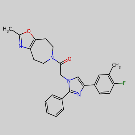 Cc1nc2c(o1)CCN(C(=O)Cn1cc(-c3ccc(F)c(C)c3)nc1-c1ccccc1)CC2